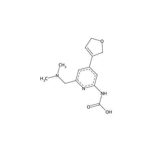 CN(C)Cc1cc(C2=CCOC2)cc(NC(=O)O)n1